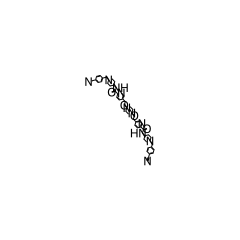 N#Cc1ccc(CN2CCC(NC(=O)c3ccc(CON4CCN(OCc5ccc(C(=O)NC6CCN(Cc7ccc(C#N)cc7)CC6)nc5)CC4)cn3)CC2)cc1